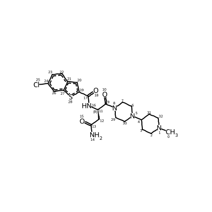 CN1CCC(N2CCN(C(=O)[C@@H](CC(N)=O)NC(=O)c3cc4ccc(Cl)cc4s3)CC2)CC1